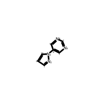 c1cnn(-c2cncnc2)c1